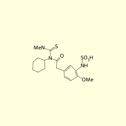 CNC(=S)N(C(=O)Cc1ccc(OC)c(NS(=O)(=O)O)c1)C1CCCCC1